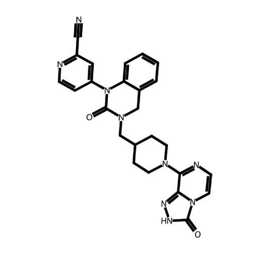 N#Cc1cc(N2C(=O)N(CC3CCN(c4nccn5c(=O)[nH]nc45)CC3)Cc3ccccc32)ccn1